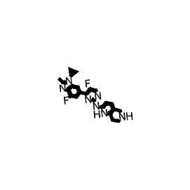 Cc1nc2c(F)cc(-c3nc(Nc4ccc5c(n4)CCNC5)ncc3F)cc2n1C1CC1